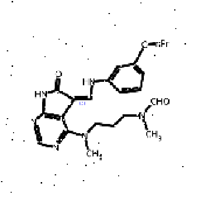 CCCOc1cccc(N/C=C2\C(=O)Nc3ncnc(N(C)CCCN(C)C=O)c32)c1